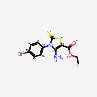 CCOC(=O)c1sc(=S)n(-c2ccc(Br)cc2)c1N